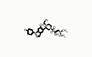 Cc1cc2c(cnn2-c2ccc(F)cc2)cc1C1CN(S(=O)(=O)/C(N)=C/N(C)N)CCN1CC(C)C